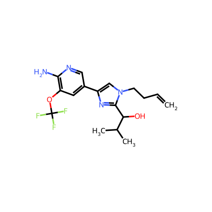 C=CCCn1cc(-c2cnc(N)c(OC(F)(F)F)c2)nc1C(O)C(C)C